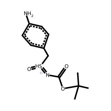 CC(C)(C)OC(=O)/N=[SH](=O)\Cc1ccc(N)cc1